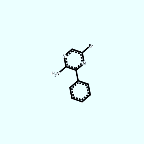 Nc1ncc(Br)nc1-c1ccccc1